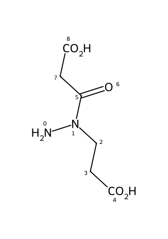 NN(CCC(=O)O)C(=O)CC(=O)O